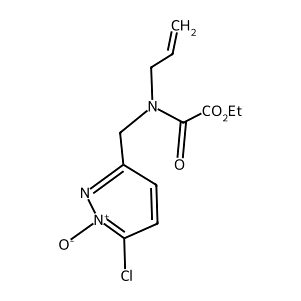 C=CCN(Cc1ccc(Cl)[n+]([O-])n1)C(=O)C(=O)OCC